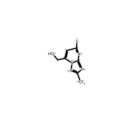 OCc1cc([S])nc2nc(C(F)(F)F)nn12